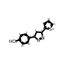 Oc1ccc(C2CC(c3cccs3)N=N2)cc1